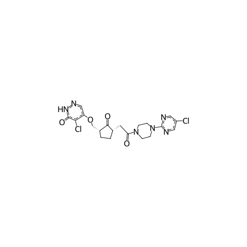 O=C1[C@@H](COc2cn[nH]c(=O)c2Cl)CC[C@H]1CC(=O)N1CCN(c2ncc(Cl)cn2)CC1